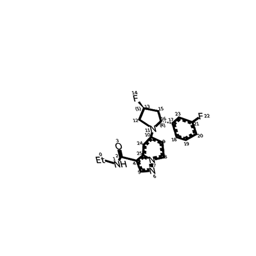 CCNC(=O)c1cnn2ccc(N3C[C@@H](F)C[C@@H]3c3cccc(F)c3)cc12